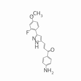 COc1ccc(-c2cc(/C=C/C(=O)c3ccc(N)cc3)[nH]n2)c(F)c1